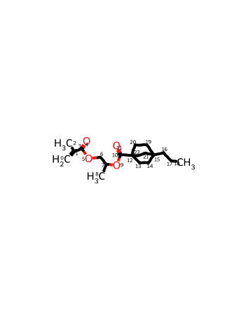 C=C(C)C(=O)OCC(C)OC(=O)C12CCC(CCC)(CC1)CC2